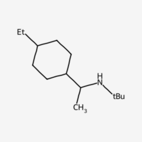 CCC1CCC(C(C)NC(C)(C)C)CC1